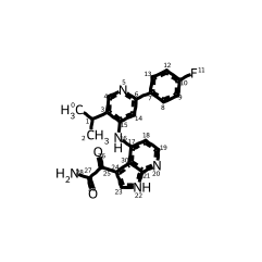 CC(C)c1cnc(-c2ccc(F)cc2)cc1Nc1ccnc2[nH]cc(C(=O)C(N)=O)c12